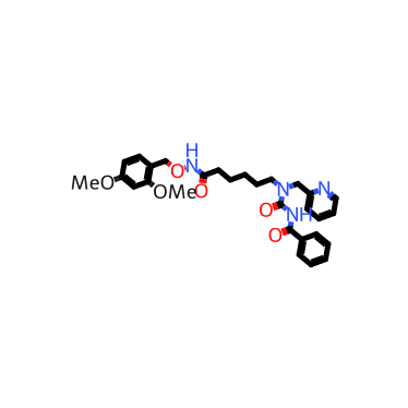 COc1ccc(CONC(=O)CCCCCN(Cc2ccccn2)C(=O)NC(=O)c2ccccc2)c(OC)c1